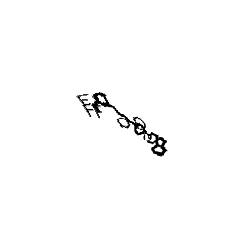 O=C(/C=C/Cc1cccc(C(F)(F)F)c1)C1CCC(N2CCC3(C=Cc4ccccc43)CC2)CO1